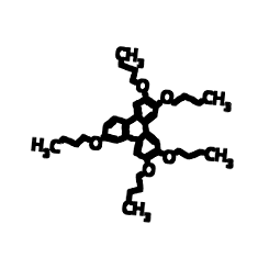 CCCCOc1ccc2c(c1)c1cc(OCCCC)c(OCCCC)cc1c1cc(OCCCC)c(OCCCC)cc21